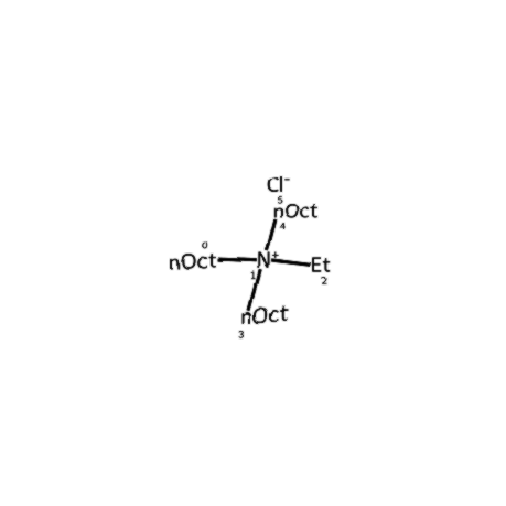 CCCCCCCC[N+](CC)(CCCCCCCC)CCCCCCCC.[Cl-]